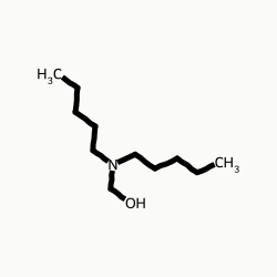 CCCCCN(CO)CCCCC